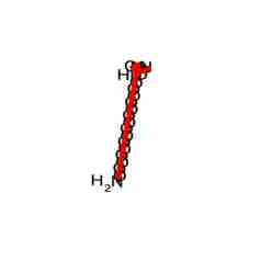 CN1C(=O)C[C@H](C(=O)NCCOCCOCCOCCOCCOCCOCCOCCOCCOCCOCCOCCOCCOCCOCCOCCN)[C@H]1c1cccnc1